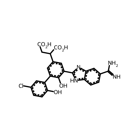 N=C(N)c1ccc2[nH]c(-c3cc(C(CC(=O)O)C(=O)O)cc(-c4cc(Cl)ccc4O)c3O)nc2c1